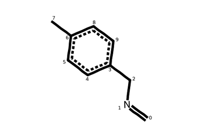 C=NCc1ccc(C)cc1